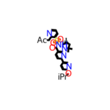 CC(=O)Cc1ncccc1S(=O)(=O)NC(=O)c1ccc(-c2ccc(OC(C)C)nc2)nc1N1C[C@@H](C)CC1(C)C